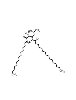 CCCCCCCCCCCCCCCC(=O)C(C)N(CC(C)O)C(C)C(=O)CCCCCCCCCCCCCCC